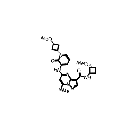 CNc1cc(Nc2cccn([C@H]3C[C@H](OC)C3)c2=O)nc2c(C(=O)NC3CC[C@H]3OC)cnn12